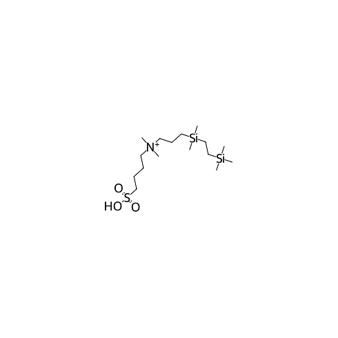 C[N+](C)(CCCCS(=O)(=O)O)CCC[Si](C)(C)CC[Si](C)(C)C